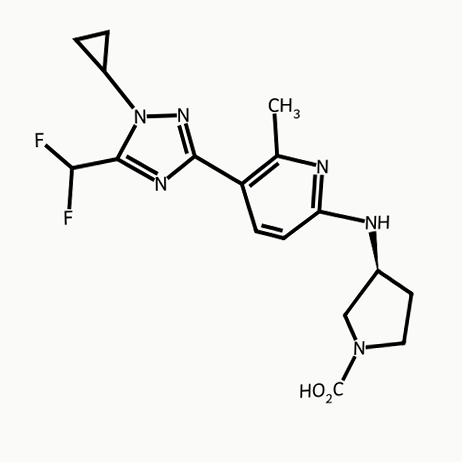 Cc1nc(N[C@H]2CCN(C(=O)O)C2)ccc1-c1nc(C(F)F)n(C2CC2)n1